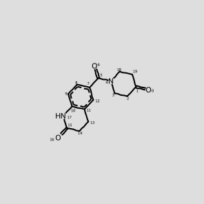 O=C1CCN(C(=O)c2ccc3c(c2)CCC(=O)N3)CC1